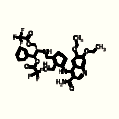 CCOc1cc2ncc(C(N)=O)c(Nc3cccc(CN[C@@H](COC(=O)C(F)(F)F)[C@@H](OC(=O)C(F)(F)F)c4ccccc4)c3CC)c2cc1OCC